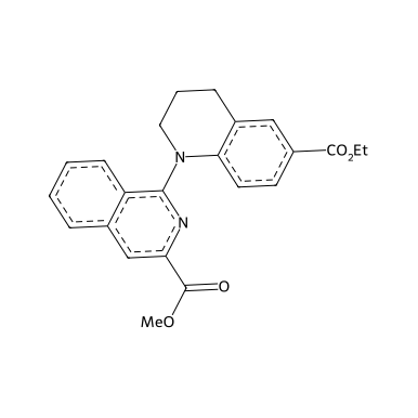 CCOC(=O)c1ccc2c(c1)CCCN2c1nc(C(=O)OC)cc2ccccc12